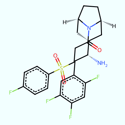 N[C@H](Cc1cc(F)c(F)cc1F)[C@@H]1C[C@H]2CC[C@@H](C1)N2C(=O)CCS(=O)(=O)c1ccc(F)cc1